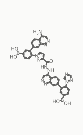 Nc1cnnc2cc(-c3cc(B(O)O)ccc3-n3ccc(C(=O)NNc4cnnc5cc(-c6cc(B(O)O)ccc6-n6cncn6)ccc45)n3)ccc12